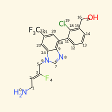 NCC=C(F)Cn1cnc2c(-c3cccc(CO)c3Cl)cc(C(F)(F)F)cc21